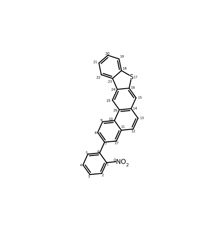 O=[N+]([O-])c1ccccc1-c1ccc2c(ccc3cc4sc5ccccc5c4cc32)c1